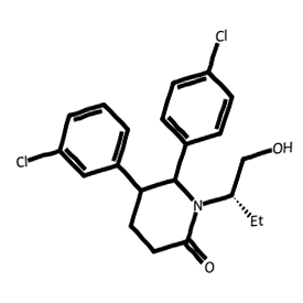 CC[C@@H](CO)N1C(=O)CCC(c2cccc(Cl)c2)C1c1ccc(Cl)cc1